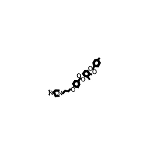 Cc1ccc(C(=O)Oc2ccc(OC(=O)c3ccc(OCCCC[n+]4ccc(N(C)C)cc4)cc3)c(C)c2C)cc1